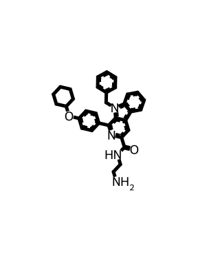 NCCNC(=O)c1cc2c3ccccc3n(Cc3ccccc3)c2c(-c2ccc(OC3CCCCC3)cc2)n1